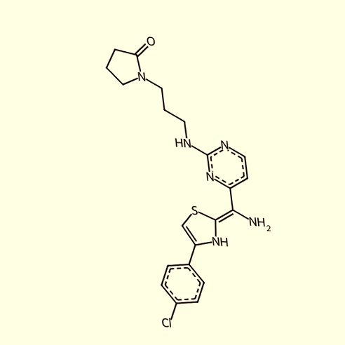 N/C(=C1\NC(c2ccc(Cl)cc2)=CS1)c1ccnc(NCCCN2CCCC2=O)n1